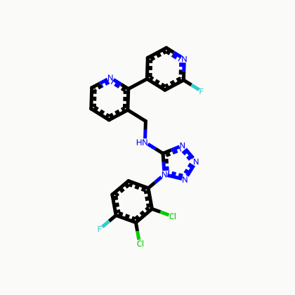 Fc1cc(-c2ncccc2CNc2nnnn2-c2ccc(F)c(Cl)c2Cl)ccn1